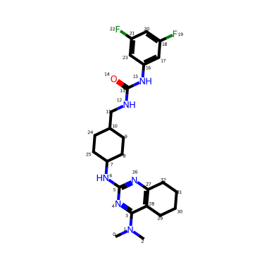 CN(C)c1nc(NC2CCC(CNC(=O)Nc3cc(F)cc(F)c3)CC2)nc2c1CCCC2